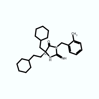 Cc1ccccc1CN1C(=N)N[C@](CCC2CCCCC2)(CC2CCCCC2)C1=O